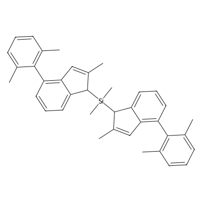 CC1=Cc2c(-c3c(C)cccc3C)cccc2C1[Si](C)(C)C1C(C)=Cc2c(-c3c(C)cccc3C)cccc21